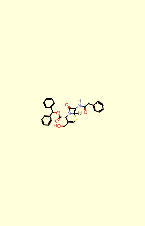 O=C(Cc1ccccc1)N[C@@H]1C(=O)N2[C@@H](C(=O)OC(c3ccccc3)c3ccccc3)C(CO)=CS[C@@H]12